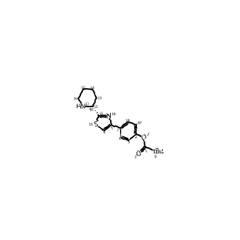 CC(C)(C)C(=O)Oc1ccc(-c2csc([C@H]3CCCCN3)n2)cc1